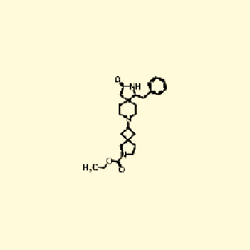 CCOC(=O)N1CCC2(CC(N3CCC4(CC3)CC(=O)NC4Cc3ccccc3)C2)C1